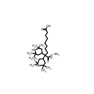 CC1(C)CC(C(CCCCCCCC(=O)O)(C(=O)O)C2CC(C)(C)NC(C)(C)C2)CC(C)(C)N1.N